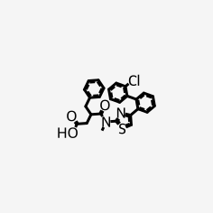 CN(C(=O)C(CC(=O)O)Cc1ccccc1)c1nc(-c2ccccc2-c2ccccc2Cl)cs1